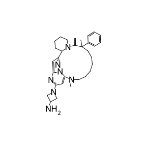 C=C1N2CCCCC2c2cc3nc(N4CC(N)C4)cc(n3n2)N(C)CCCCCCC1(C)c1ccccc1